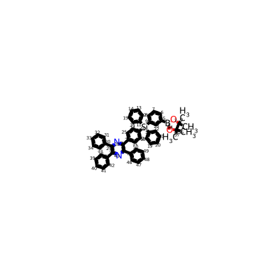 CC1(C)OB(c2cccc([Si](c3ccccc3)(c3ccccc3)c3ccc(-c4nc(-c5ccccc5)c(-c5ccccc5)nc4-c4ccccc4)cc3)c2)OC1(C)C